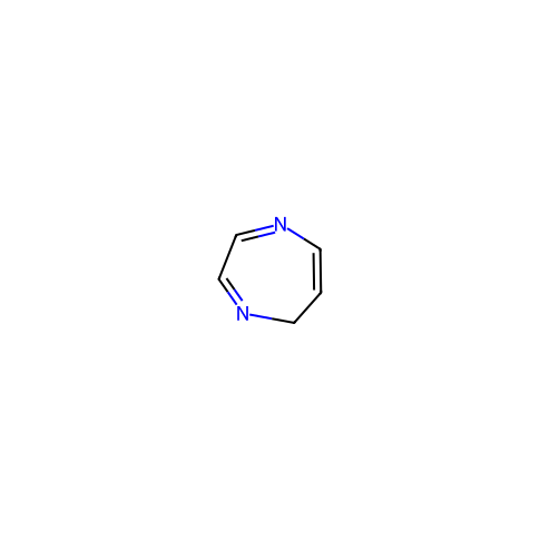 C1=CN=CC=NC1